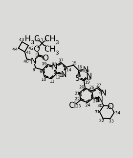 CC(C)(C)OC(=O)N(Cc1ccc2nc(Cc3nnc(-c4cc(Cl)cc5c4cnn5C4CCCCO4)s3)cn2c1)CC1CCC1